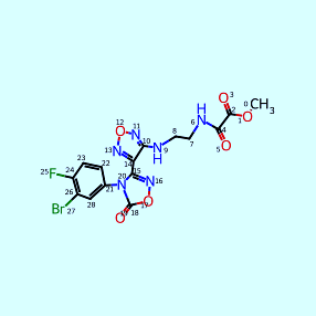 COC(=O)C(=O)NCCNc1nonc1-c1noc(=O)n1-c1ccc(F)c(Br)c1